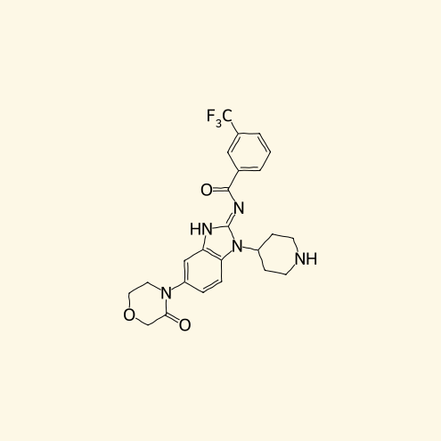 O=C(/N=c1\[nH]c2cc(N3CCOCC3=O)ccc2n1C1CCNCC1)c1cccc(C(F)(F)F)c1